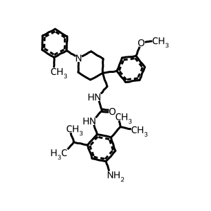 COc1cccc(C2(CNC(=O)Nc3c(C(C)C)cc(N)cc3C(C)C)CCN(c3ccccc3C)CC2)c1